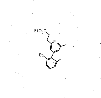 C=C(C)/C=C(\C=C(/F)CCC(=O)OCC)c1c(C)cccc1CC